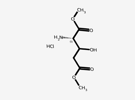 COC(=O)CC(O)[C@H](N)C(=O)OC.Cl